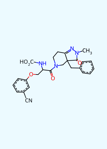 CN1N=C2CCN(C(=O)C(COc3cccc(C#N)c3)NC(=O)O)CC2(Cc2ccccc2)C1=O